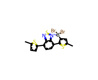 Cc1ccc(-c2ccc3c4c2ns[n+]4[B-](Br)(Br)c2cc(C)sc2-3)s1